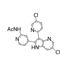 CC(=O)Nc1cc(-c2[nH]c3cc(Cl)cnc3c2-c2ccc(Cl)cn2)ccn1